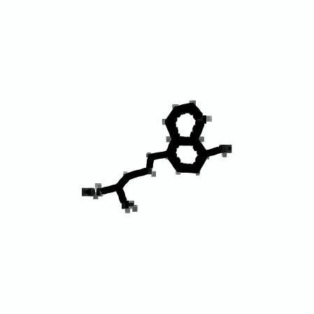 NC(CSCc1ccc(O)c2ncccc12)C(=O)O